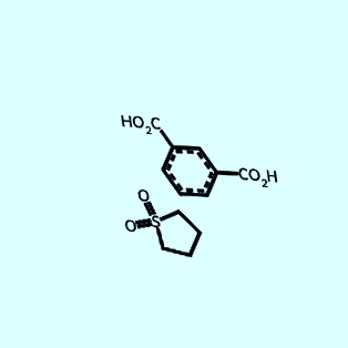 O=C(O)c1cccc(C(=O)O)c1.O=S1(=O)CCCC1